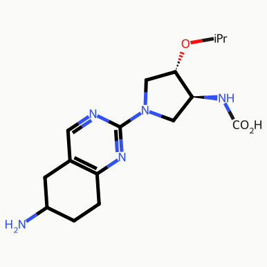 CC(C)O[C@H]1CN(c2ncc3c(n2)CCC(N)C3)C[C@@H]1NC(=O)O